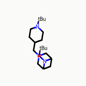 CC(C)(C)CN1C2CC1CN(CC1CCN(C(C)(C)C)CC1)C2